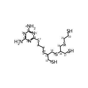 Nc1nc(N)nc(SCCSC(CS)CSC(CS)CSCCS)n1